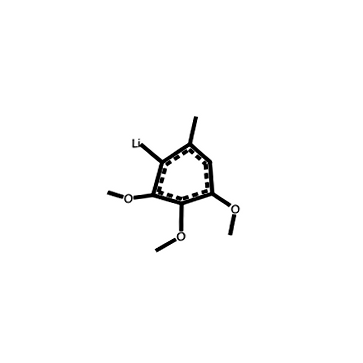 [Li][c]1c(C)cc(OC)c(OC)c1OC